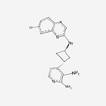 Nc1nccc([C@H]2C[C@H](Nc3cnc4ccc(Cl)cc4n3)C2)c1N